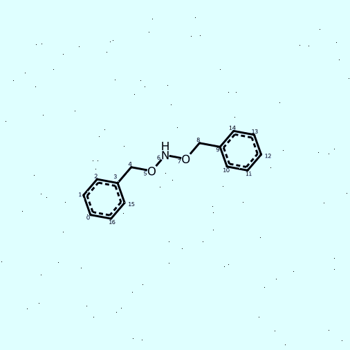 c1ccc(CONOCc2ccccc2)cc1